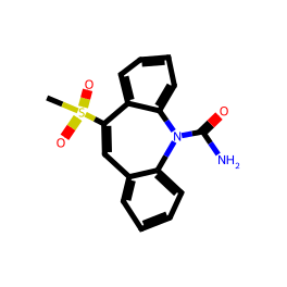 CS(=O)(=O)C1=Cc2ccccc2N(C(N)=O)c2ccccc21